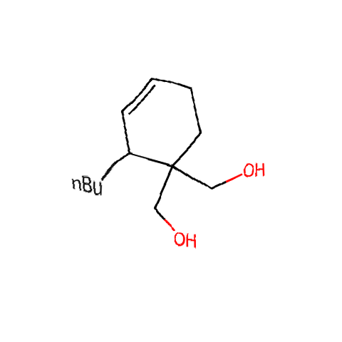 CCCCC1C=CCCC1(CO)CO